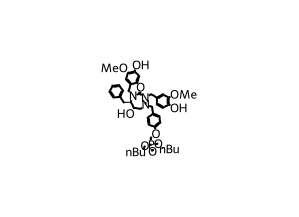 CCCCOP(=O)(COc1ccc(CN2C[C@@H](O)[C@@H](Cc3ccccc3)N(Cc3ccc(O)c(OC)c3)C(=O)N2Cc2ccc(O)c(OC)c2)cc1)OCCCC